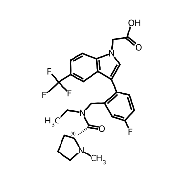 CCN(Cc1cc(F)ccc1-c1cn(CC(=O)O)c2ccc(C(F)(F)F)cc12)C(=O)[C@H]1CCCN1C